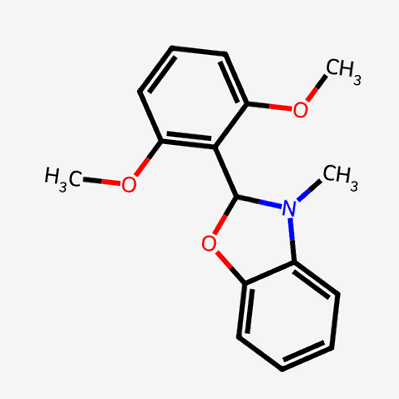 COc1cccc(OC)c1C1Oc2ccccc2N1C